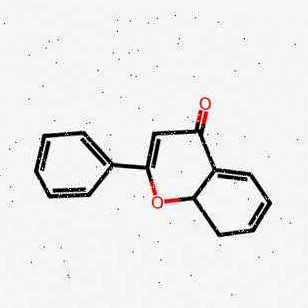 O=C1C=C(c2ccccc2)OC2CC=CC=C12